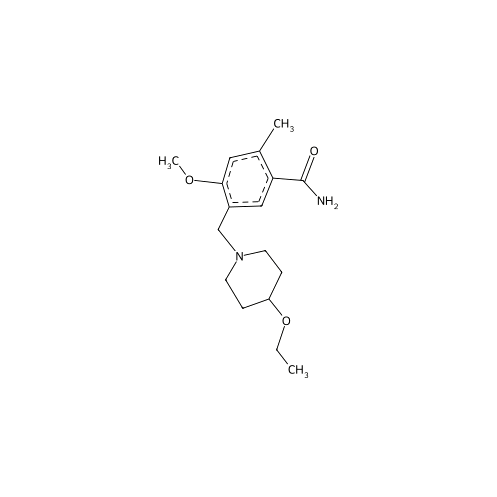 CCOC1CCN(Cc2cc(C(N)=O)c(C)cc2OC)CC1